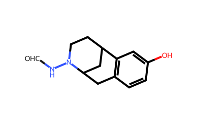 O=CNN1CCC2CC1Cc1ccc(O)cc12